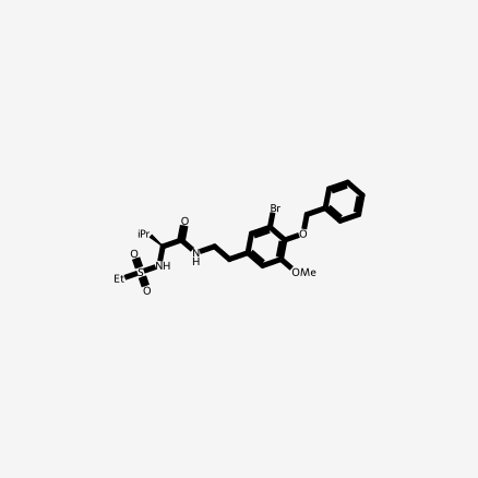 CCS(=O)(=O)N[C@H](C(=O)NCCc1cc(Br)c(OCc2ccccc2)c(OC)c1)C(C)C